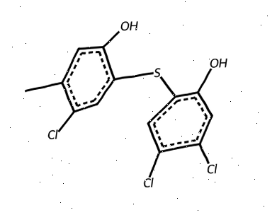 Cc1cc(O)c(Sc2cc(Cl)c(Cl)cc2O)cc1Cl